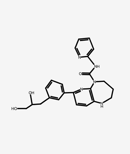 O=C(Nc1ccccn1)N1CCCNc2ccc(-c3cccc(CC(O)CO)c3)nc21